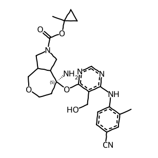 Cc1cc(C#N)ccc1Nc1ncnc(O[C@@]2(N)CCOCC3CN(C(=O)OC4(C)CC4)CC32)c1CO